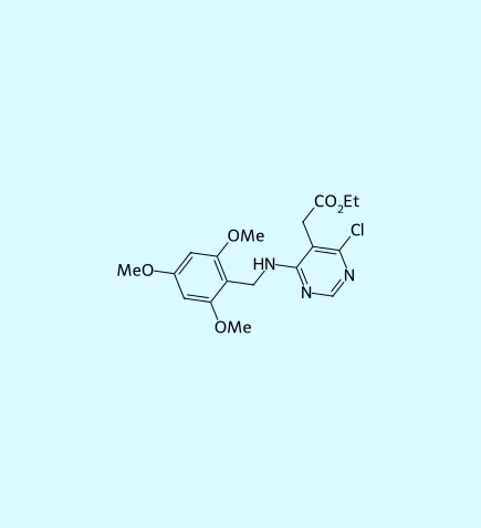 CCOC(=O)Cc1c(Cl)ncnc1NCc1c(OC)cc(OC)cc1OC